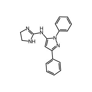 c1ccc(-c2cc(NC3=NCCN3)n(-c3ccccc3)n2)cc1